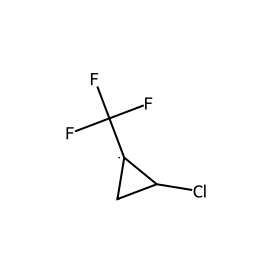 FC(F)(F)[C]1CC1Cl